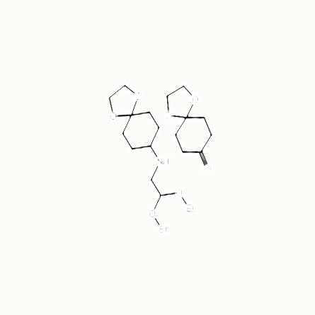 CCOC(CNC1CCC2(CC1)OCCO2)OCC.O=C1CCC2(CC1)OCCO2